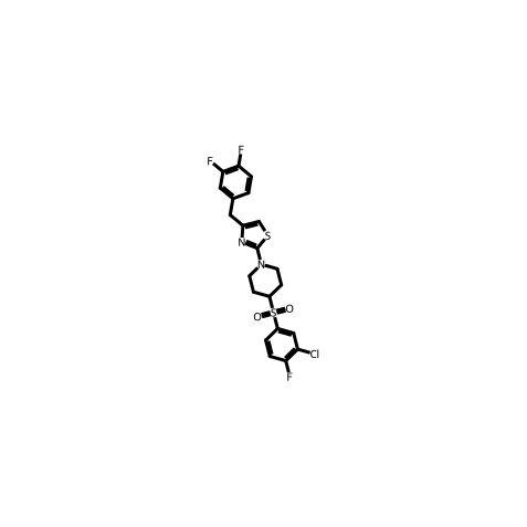 O=S(=O)(c1ccc(F)c(Cl)c1)C1CCN(c2nc(Cc3ccc(F)c(F)c3)cs2)CC1